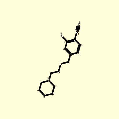 [C-]#[N+]c1ccc(COCCN2CCCCC2)cc1F